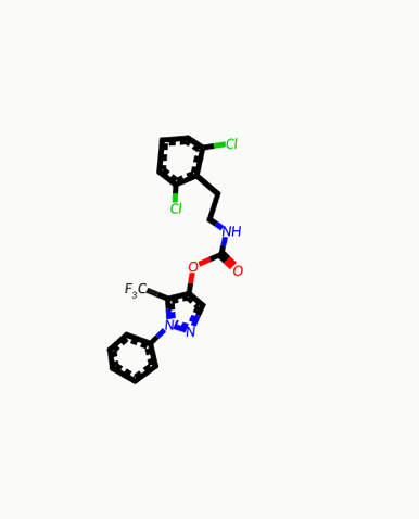 O=C(NCCc1c(Cl)cccc1Cl)Oc1cnn(-c2ccccc2)c1C(F)(F)F